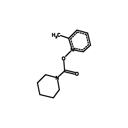 Cc1cccc[n+]1OC(=O)N1CCCCC1